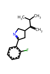 C=C(C(C)C)C1CN=C(c2ccccc2F)C1